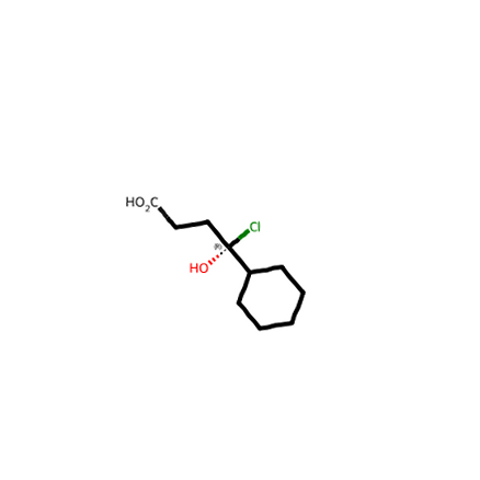 O=C(O)CC[C@@](O)(Cl)C1CCCCC1